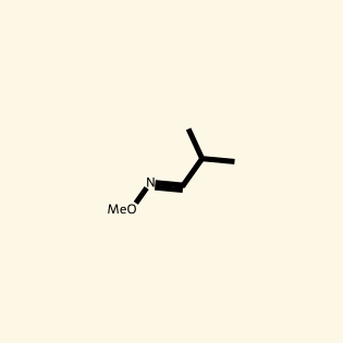 CON=CC(C)C